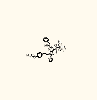 COc1ccc(CCn2c(-n3cccn3)nc3c(NC(=O)C(C)(C)C)nc(NCc4ccccc4)nc32)cc1